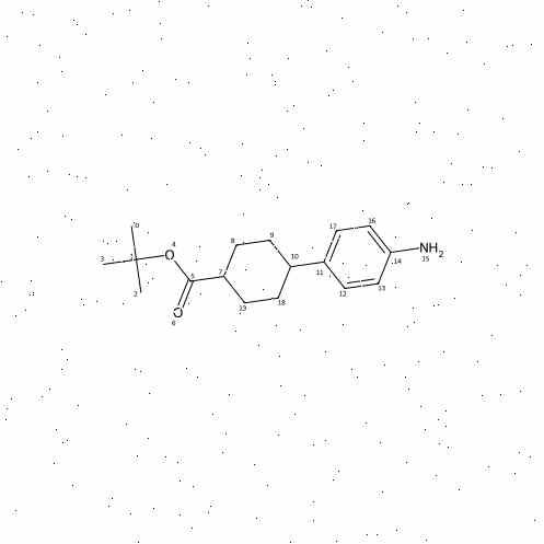 CC(C)(C)OC(=O)C1CCC(c2ccc(N)cc2)CC1